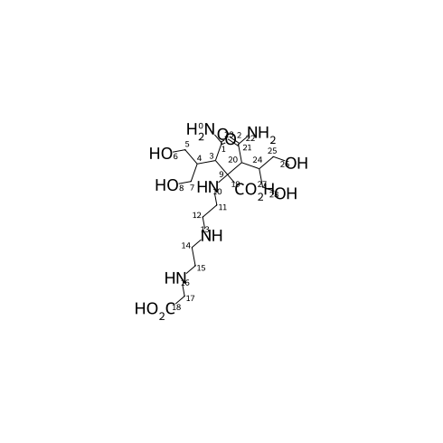 NC(=O)C(C(CO)CO)C(NCCNCCNCC(=O)O)(C(=O)O)C(C(N)=O)C(CO)CO